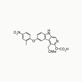 COCc1c(OC(=O)O)ncc2[nH]c3ccc(Oc4ccc([N+](=O)[O-])cc4C)cc3c12